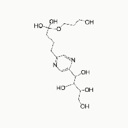 OCCCOC(O)(O)CCCc1cnc(C(O)C(O)C(O)CO)cn1